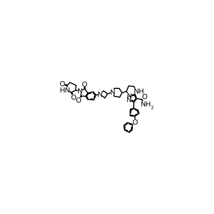 NC(=O)c1c(-c2ccc(Oc3ccccc3)cc2)nn2c1NCCC2C1CCN(C2CN(c3ccc4c(c3)C(=O)N(C3CCC(=O)NC3=O)C4=O)C2)CC1